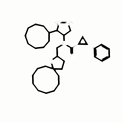 O=C([C@H]1C[C@@H]1c1ccccc1)N(CC1CCC2(CCCCCCCCC2)S1)C1CNNC1C1CCCCCCCC1